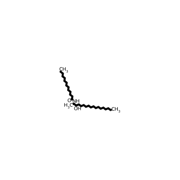 CCCCCCCCCCCCCCCC(O)C(C)NC(=O)CCCCCCCCCCCCC